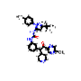 Cc1ccc(-n2nc(C(C)(C)C)cc2NC(=O)Nc2cccc(C(C(=O)c3cnc(C)cn3)C3CCNCC3)c2)cc1